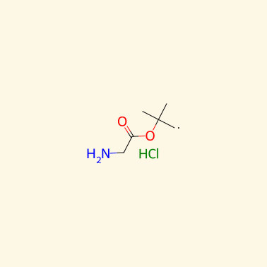 Cl.[CH2]C(C)(C)OC(=O)CN